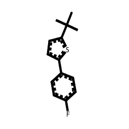 CC(C)(C)c1ccc(-c2ccc(F)cc2)s1